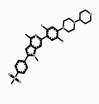 Cc1nc(-c2cc(F)c(N3CCN(C4CCOCC4)CC3)cc2F)cc2c1cc(-c1ccc(S(C)(=O)=O)cc1)n2C